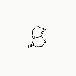 C1CN2NCCSC2=N1